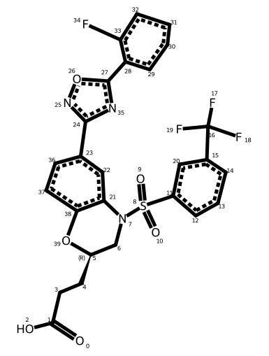 O=C(O)CC[C@@H]1CN(S(=O)(=O)c2cccc(C(F)(F)F)c2)c2cc(-c3noc(-c4ccccc4F)n3)ccc2O1